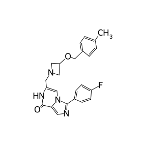 Cc1ccc(COC2CN(Cc3cn4c(-c5ccc(F)cc5)ncc4c(=O)[nH]3)C2)cc1